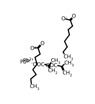 C=C(C)C(=O)[O-].C=C(C)C(=O)[O-].CCCCCCCC(=O)[O-].CCCCCCCC(=O)[O-].[Pb+2].[Pb+2]